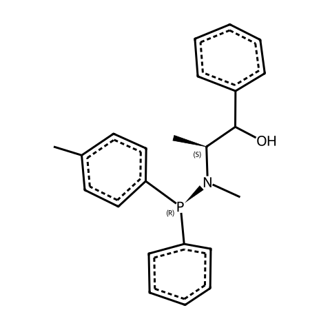 Cc1ccc([P@](c2ccccc2)N(C)[C@@H](C)C(O)c2ccccc2)cc1